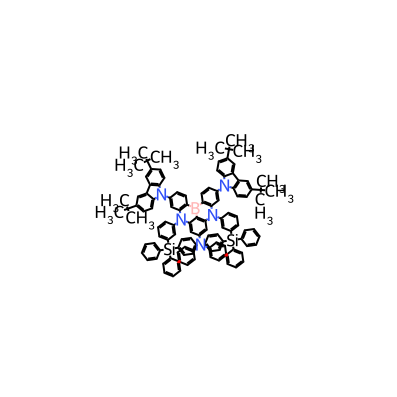 CC(C)(C)c1ccc2c(c1)c1cc(C(C)(C)C)ccc1n2-c1ccc2c(c1)N(c1cccc([Si](c3ccccc3)(c3ccccc3)c3ccccc3)c1)c1cc(N(c3ccccc3)c3ccccc3)cc3c1B2c1ccc(-n2c4ccc(C(C)(C)C)cc4c4cc(C(C)(C)C)ccc42)cc1N3c1cccc([Si](c2ccccc2)(c2ccccc2)c2ccccc2)c1